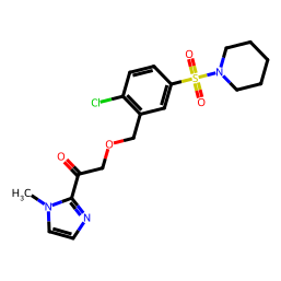 Cn1ccnc1C(=O)COCc1cc(S(=O)(=O)N2CCCCC2)ccc1Cl